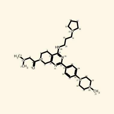 CN(C)CC(=O)N1CCc2c(nc(-c3ccc(N4CCN(C)CC4)cc3)nc2NCCCN2CCCC2)C1